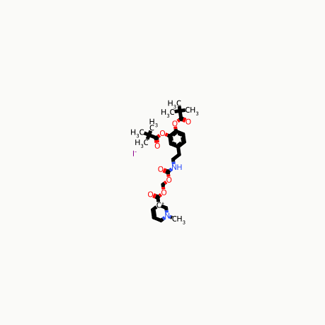 CN1CC=C[C+](C(=O)OCOC(=O)NCCc2ccc(OC(=O)C(C)(C)C)c(OC(=O)C(C)(C)C)c2)C1.[I-]